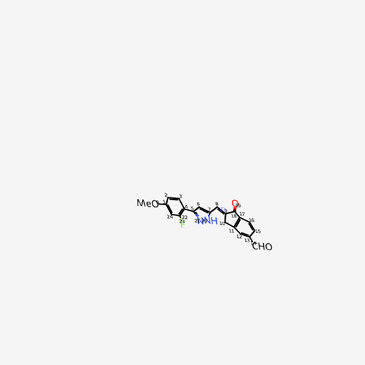 COc1ccc(-c2cc(/C=C3\Cc4cc(C=O)ccc4C3=O)[nH]n2)c(F)c1